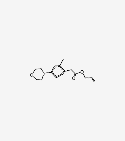 C=CCOC(=O)Cc1ccc(N2CCOCC2)cc1C